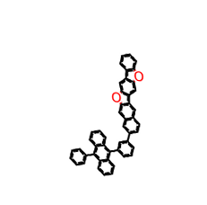 c1ccc(-c2c3ccccc3c(-c3cccc(-c4ccc5cc6c(cc5c4)oc4cc5c(cc46)oc4ccccc45)c3)c3ccccc23)cc1